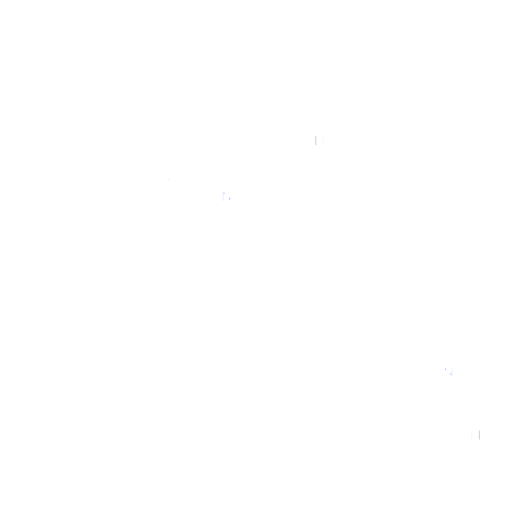 Cc1ccc(COc2ccc3c(c2)CCn2c(OCC4CCCO4)cc(=O)c(C)c2-3)cn1